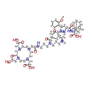 COc1cccc(OC)c1-c1cc(C(=O)NC2(C(=O)O)C3C=C4CC(C3)CC2C4)nn1-c1ccc(C(=O)N(CCCNC(=O)CN2CCN(CC(=O)O)CCN(CC(=O)O)CCN(CC(=O)O)CC2)CCCN(C)C)cc1C(C)C